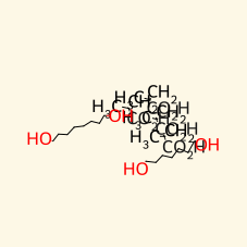 C=C(C)C(=O)O.C=C(C)C(=O)O.C=C(C)C(=O)O.C=C(C)C(=O)O.OCCCCCCCCO.OCCCCCCCO